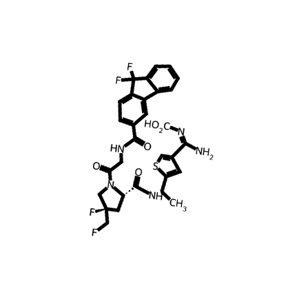 CC(NC(=O)[C@@H]1C[C@](F)(CF)CN1C(=O)CNC(=O)c1ccc2c(c1)-c1ccccc1C2(F)F)c1cc(/C(N)=N\C(=O)O)cs1